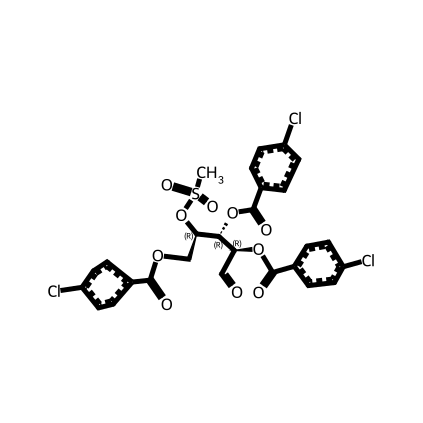 CS(=O)(=O)O[C@H](COC(=O)c1ccc(Cl)cc1)[C@H](OC(=O)c1ccc(Cl)cc1)[C@H](C=O)OC(=O)c1ccc(Cl)cc1